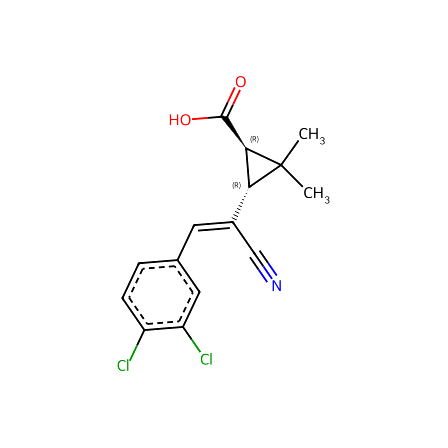 CC1(C)[C@H](C(=O)O)[C@H]1C(C#N)=Cc1ccc(Cl)c(Cl)c1